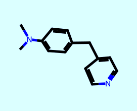 CN(C)c1ccc(Cc2ccncc2)cc1